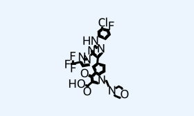 O=C(O)c1cn(CCN2CCOCC2)c2ccc(-c3cnc(Nc4ccc(F)c(Cl)c4)nc3-n3ccc(C(F)(F)F)n3)cc2c1=O